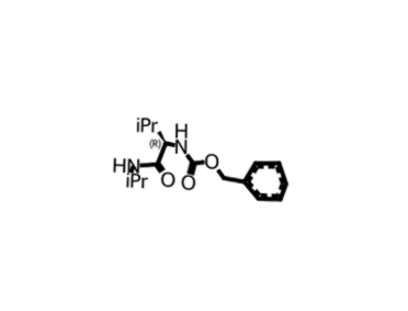 CC(C)NC(=O)[C@H](NC(=O)OCc1ccccc1)C(C)C